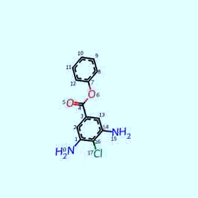 Nc1cc(C(=O)Oc2ccccc2)cc(N)c1Cl